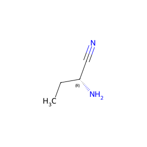 CC[C@@H](N)C#N